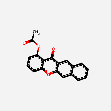 CC(=O)Oc1cccc2oc3cc4ccccc4cc3c(=O)c12